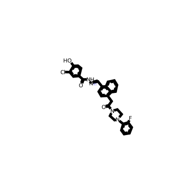 O=C(N/N=C/c1ccc(CC(=O)N2CCN(c3ccccc3F)CC2)c2ccccc12)c1ccc(O)c(Cl)c1